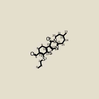 CCCSC1=C(C=O)CCc2c1sc1nc3n(c(=O)c21)CCC(C)CC3